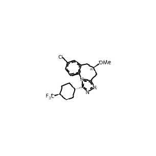 CO[C@@H]1Cc2cc(Cl)ccc2-n2c(nnc2[C@H]2CC[C@H](C(F)(F)F)CC2)C1